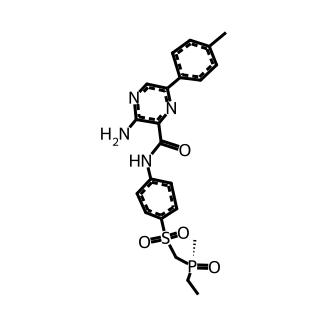 CC[P@](C)(=O)CS(=O)(=O)c1ccc(NC(=O)c2nc(-c3ccc(C)cc3)cnc2N)cc1